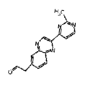 Cc1nccc(-c2cnc3cc(CC=O)ccc3n2)n1